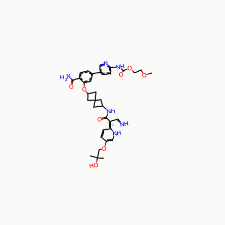 COCCOC(=O)Nc1ccc(-c2ccc(C(N)=O)c(OC3CC4(CC(NC(=O)/C(C=N)=C5\C=CC(OCC(C)(C)O)=CN5)C4)C3)c2)cn1